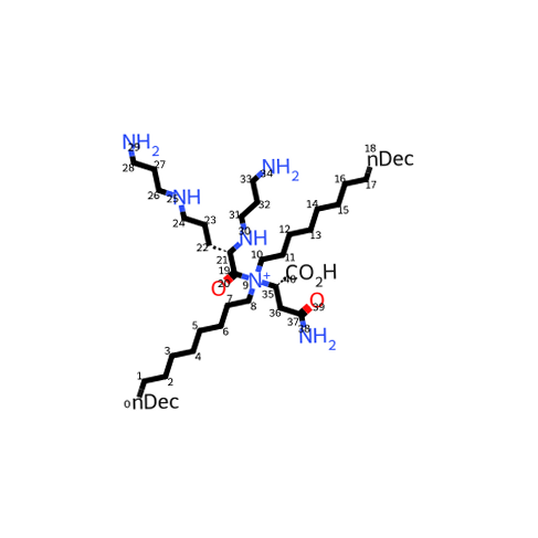 CCCCCCCCCCCCCCCCCC[N+](CCCCCCCCCCCCCCCCCC)(C(=O)[C@H](CCCNCCCN)NCCCN)[C@@H](CC(N)=O)C(=O)O